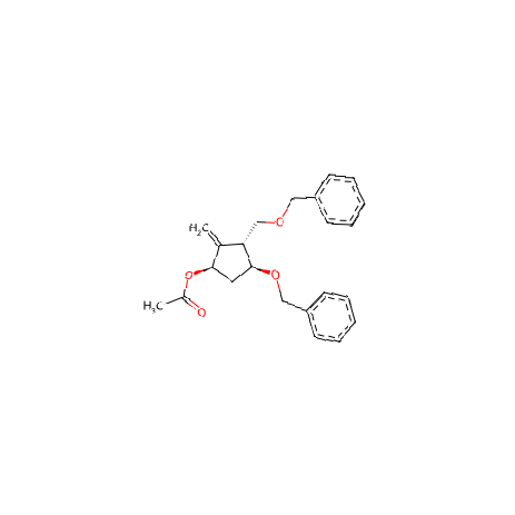 C=C1[C@H](OC(C)=O)C[C@H](OCc2ccccc2)[C@H]1COCc1ccccc1